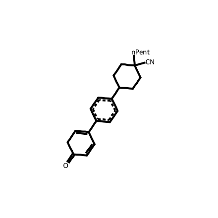 CCCCCC1(C#N)CCC(c2ccc(C3=CCC(=O)C=C3)cc2)CC1